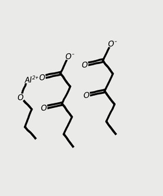 CCCC(=O)CC(=O)[O-].CCCC(=O)CC(=O)[O-].CCC[O][Al+2]